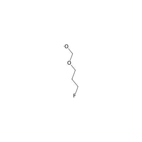 [O]COCCCF